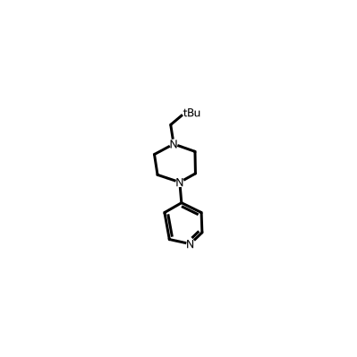 CC(C)(C)CN1CCN(c2ccncc2)CC1